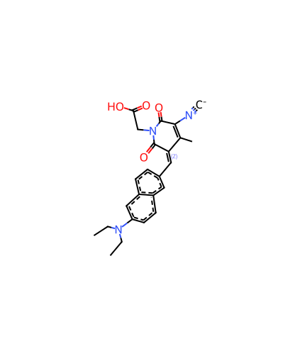 [C-]#[N+]C1=C(C)/C(=C/c2ccc3cc(N(CC)CC)ccc3c2)C(=O)N(CC(=O)O)C1=O